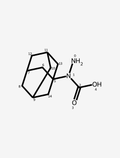 NN(C(=O)O)C12CC3CC(CC(C3)C1)C2